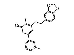 [CH2]C1=C(CCc2ccc3c(c2)OCO3)C=C(c2cccc(C)c2)CC1=O